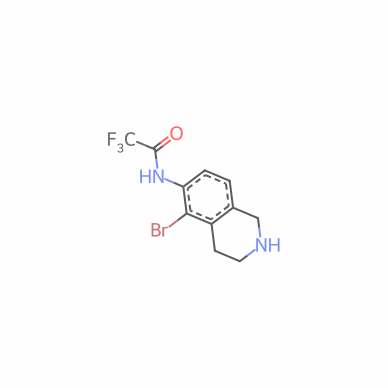 O=C(Nc1ccc2c(c1Br)CCNC2)C(F)(F)F